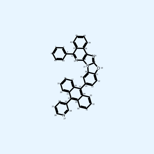 c1ccc(-c2nc3c(nc4oc5ccc(-c6c7ccccc7c(-c7cccnc7)c7ccccc67)cc5n43)c3ccccc23)cc1